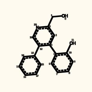 OCc1cc(-c2ccccc2O)c(-c2ccccc2)cn1